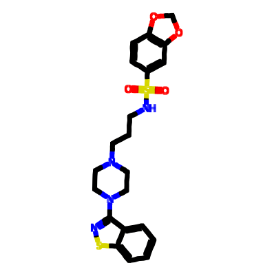 O=S(=O)(NCCCN1CCN(c2nsc3ccccc23)CC1)c1ccc2c(c1)OCO2